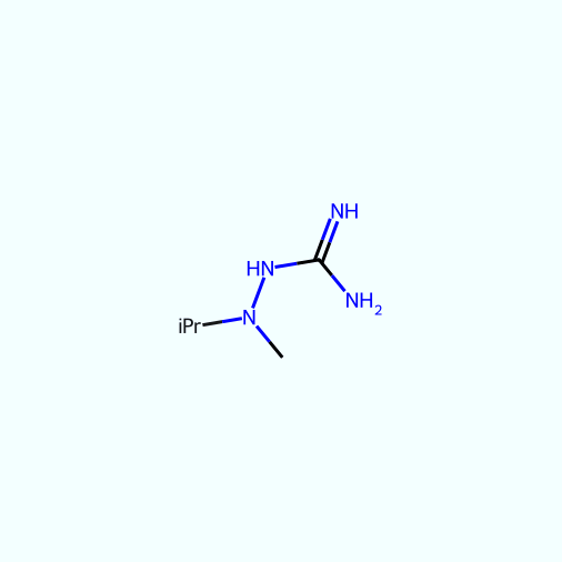 CC(C)N(C)NC(=N)N